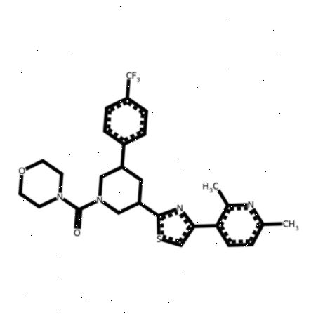 Cc1ccc(-c2csc(C3CC(c4ccc(C(F)(F)F)cc4)CN(C(=O)N4CCOCC4)C3)n2)c(C)n1